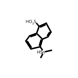 [CH3][SnH]([CH3])[c]1cccc2c(S(=O)(=O)O)cccc12